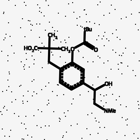 CNCC(O)c1ccc(CC(C)(C)C(=O)O)c(OC(=O)C(C)(C)C)c1